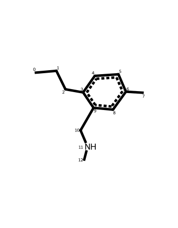 CCCc1ccc(C)cc1CNC